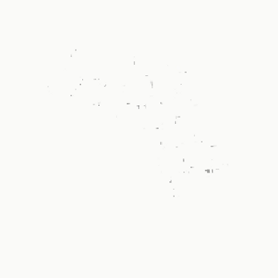 CCc1cc2c(cc1CC)CC(NCC(O)c1ccc(O)c3[nH]c(=O)ccc13)C2.O=C(O)/C=C\C(=O)O